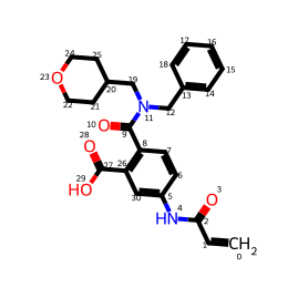 C=CC(=O)Nc1ccc(C(=O)N(Cc2ccccc2)CC2CCOCC2)c(C(=O)O)c1